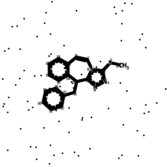 CSc1nnc2n1C=Cc1ccccc1C2Cc1ccccc1